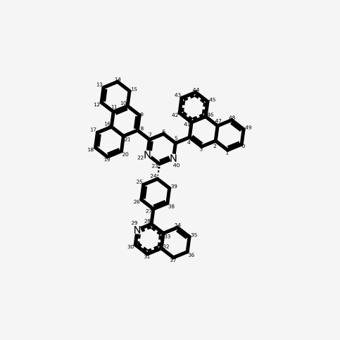 C1=CC2C=C(C3CC(C4=CC5=C(C=CCC5)C5C=CC=CC45)=NC([C@H]4C=CC(c5nccc6c5C=CCC6)=CC4)=N3)c3ccccc3C2C=C1